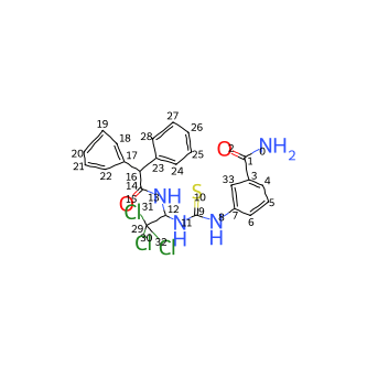 NC(=O)c1cccc(NC(=S)NC(NC(=O)C(c2ccccc2)c2ccccc2)C(Cl)(Cl)Cl)c1